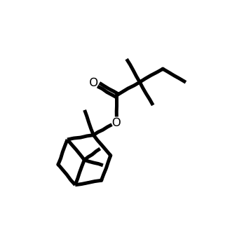 CCC(C)(C)C(=O)OC1(C)CCC2CC1C2(C)C